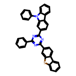 c1ccc(-c2nc(-c3ccc4c(c3)sc3ccccc34)nc(-c3ccc4c5ccccc5n(-c5ccccc5)c4c3)n2)cc1